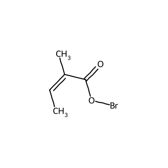 CC=C(C)C(=O)OBr